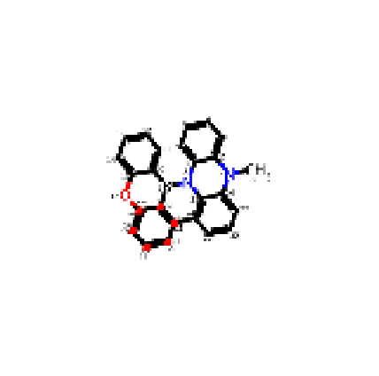 CN1c2ccccc2N(B2c3ccccc3Oc3ccccc32)c2c(-c3ccccc3)cccc21